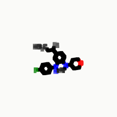 CCCN(c1ccc(C(CC)CC(=O)O)cc1Nc1ccc(F)cc1)C1CCOCC1